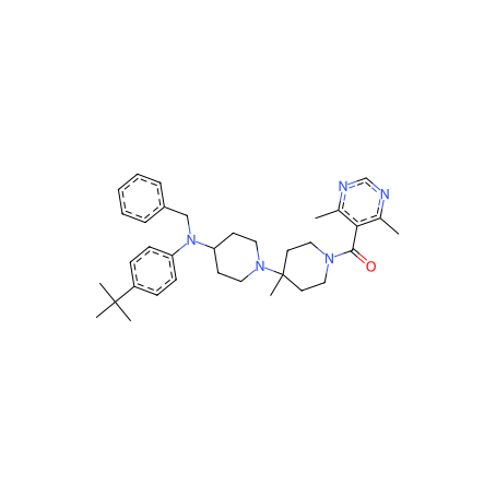 Cc1ncnc(C)c1C(=O)N1CCC(C)(N2CCC(N(Cc3ccccc3)c3ccc(C(C)(C)C)cc3)CC2)CC1